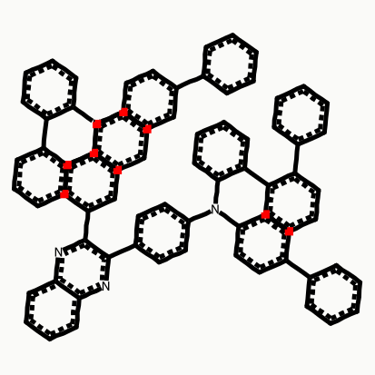 c1ccc(-c2ccc(N(c3ccc(-c4nc5ccccc5nc4-c4ccc(N(c5ccc(-c6ccccc6)cc5)c5ccccc5-c5ccccc5-c5ccccc5)cc4)cc3)c3ccccc3-c3ccccc3-c3ccccc3)cc2)cc1